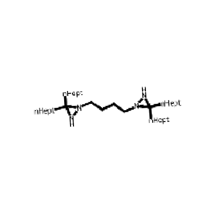 CCCCCCCC1(CCCCCCC)NN1CCCCN1NC1(CCCCCCC)CCCCCCC